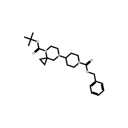 CC(C)(C)OC(=O)N1CCN(C2CCN(C(=O)OCc3ccccc3)CC2)CC12CC2